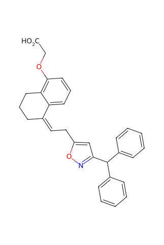 O=C(O)COc1cccc2c1CCC/C2=C/Cc1cc(C(c2ccccc2)c2ccccc2)no1